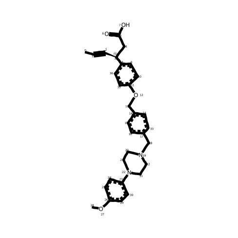 CC#C[C@@H](CC(=O)O)c1ccc(OCc2ccc(CN3CCN(c4ccc(OC)cc4)CC3)cc2)cc1